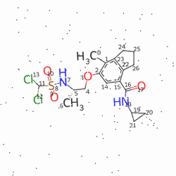 Cc1c(OC[C@H](C)NS(=O)(=O)C(Cl)Cl)cc(C(=O)NC2CC2)c2c1CCC2